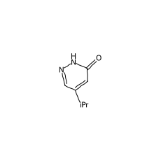 CC(C)c1cn[nH]c(=O)c1